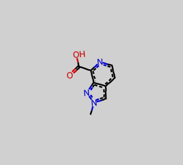 Cn1cc2ccnc(C(=O)O)c2n1